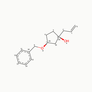 C=CC[C@@]1(O)CC[C@H](OCc2ccccc2)C1